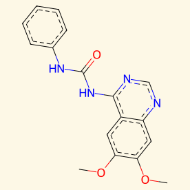 COc1cc2ncnc(NC(=O)Nc3ccccc3)c2cc1OC